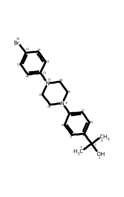 CC(C)(O)c1ccc(N2CCN(c3ccc(Br)cc3)CC2)cc1